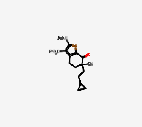 CCOC(=O)c1c(NC(C)=O)sc2c1CCC(C#N)(CCC1CC1)C2=O